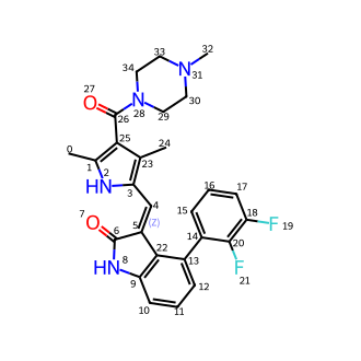 Cc1[nH]c(/C=C2\C(=O)Nc3cccc(-c4cccc(F)c4F)c32)c(C)c1C(=O)N1CCN(C)CC1